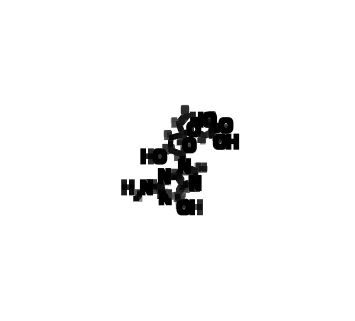 C=C[C@@]1(OCP(=O)(O)O)C[C@@H](O)[C@H](n2cnc3c(O)nc(N)nc32)O1